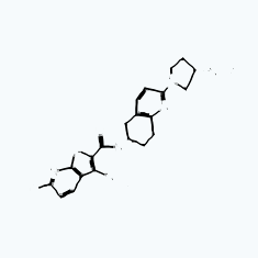 CC(=O)N[C@H]1CCN(c2ccc3c(n2)CC[C@H](NC(=O)c2sc4nc(C)ccc4c2N)C3)C1